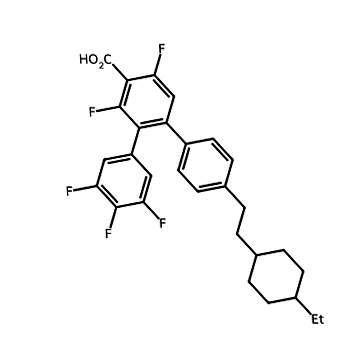 CCC1CCC(CCc2ccc(-c3cc(F)c(C(=O)O)c(F)c3-c3cc(F)c(F)c(F)c3)cc2)CC1